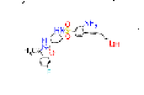 C[C@@H](NC(=O)[C@H]1CC[C@H](NS(=O)(=O)c2ccc(C#CCCCO)c(N)c2)CC1)c1ccc(F)cc1